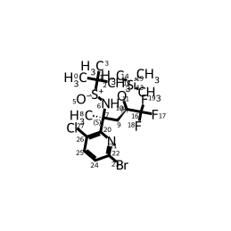 CC(C)(C)[S+]([O-])N[C@@](C)(C[C@@H](O[Si](C)(C)C)C(F)(F)F)c1nc(Br)ccc1Cl